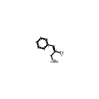 CCC(=Cc1ccccc1)CC(C)CC